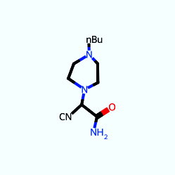 [C-]#[N+]C(C(N)=O)N1CCN(CCCC)CC1